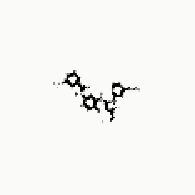 CNc1cc(-n2nc(CO)cc2Nc2cc(NC(=O)c3cccc(C(F)(F)F)c3)ccc2C)ncn1